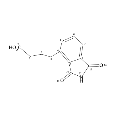 O=C(O)CCCc1cccc2c1C(=O)NC2=O